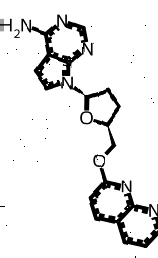 Nc1ncnc2c1ccn2[C@H]1CC[C@@H](COc2ccc3cccnc3n2)O1